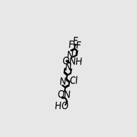 O=C(Nc1ccc(C(F)(F)F)cn1)N1CC=C(c2ncc(-c3nc(CO)co3)cc2Cl)CC1